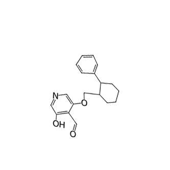 O=Cc1c(O)cncc1OCC1CCCCC1c1ccccc1